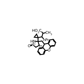 CCCC(C(C)C(=O)O)C1(C2(CC3c4ccccc4Oc4ccccc43)N[N+](=O)CC2=O)CC1